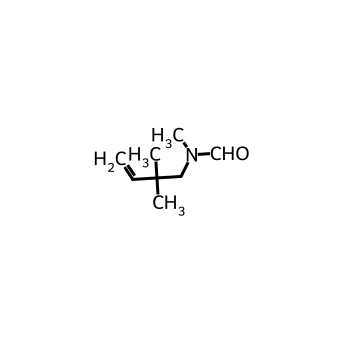 C=CC(C)(C)CN(C)C=O